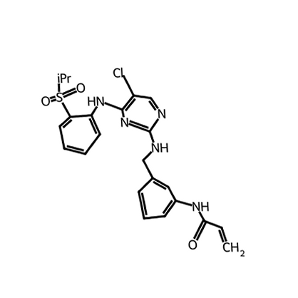 C=CC(=O)Nc1cccc(CNc2ncc(Cl)c(Nc3ccccc3S(=O)(=O)C(C)C)n2)c1